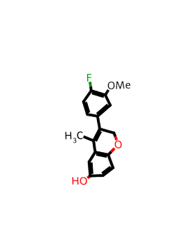 COc1cc(C2=C(C)c3cc(O)ccc3OC2)ccc1F